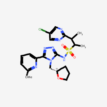 COc1cccc(-c2nnc(NS(=O)(=O)C(C)C(C)c3ncc(Cl)cn3)n2C[C@@H]2CCCO2)n1